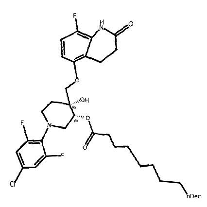 CCCCCCCCCCCCCCCCCC(=O)O[C@@H]1CN(c2c(F)cc(Cl)cc2F)CC[C@@]1(O)COc1ccc(F)c2c1CCC(=O)N2